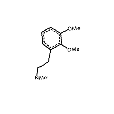 C[N]CCc1cccc(OC)c1OC